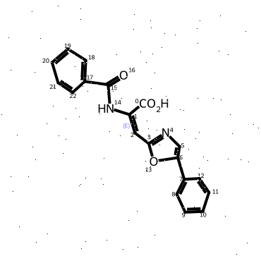 O=C(O)/C(=C\c1ncc(-c2ccccc2)o1)NC(=O)c1ccccc1